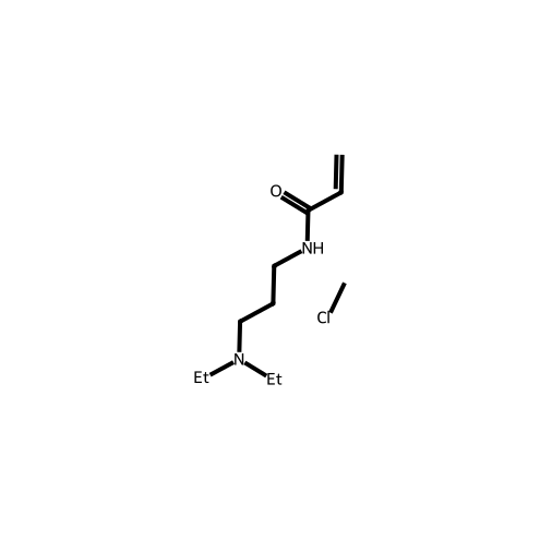 C=CC(=O)NCCCN(CC)CC.CCl